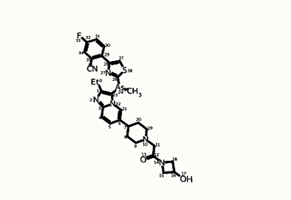 CCc1nc2ccc(C3CCN(CC(=O)N4CC(O)C4)CC3)cn2c1[As](C)c1nc(-c2ccc(F)cc2C#N)cs1